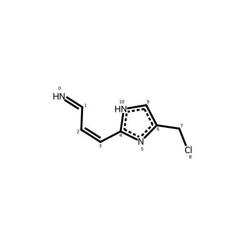 N=C/C=C\c1nc(CCl)c[nH]1